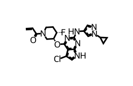 C=CC(=O)N1CC[C@H](F)[C@@H](Oc2nc(Nc3cnn(C4CC4)c3)nc3[nH]cc(Cl)c23)C1